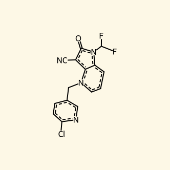 N#Cc1c2n(Cc3ccc(Cl)nc3)cccc-2n(C(F)F)c1=O